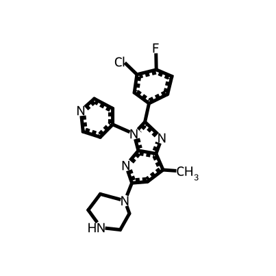 Cc1cc(N2CCNCC2)nc2c1nc(-c1ccc(F)c(Cl)c1)n2-c1ccncc1